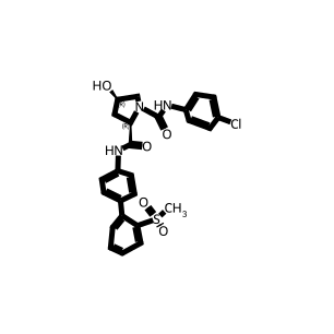 CS(=O)(=O)c1ccccc1-c1ccc(NC(=O)[C@H]2C[C@@H](O)CN2C(=O)Nc2ccc(Cl)cc2)cc1